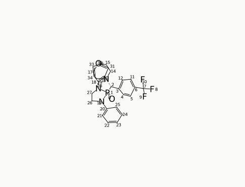 O=P1([C@@H](c2ccc(C(F)(F)F)cc2)N2CCOCC2)N(c2ccccc2)CCN1c1ccccc1